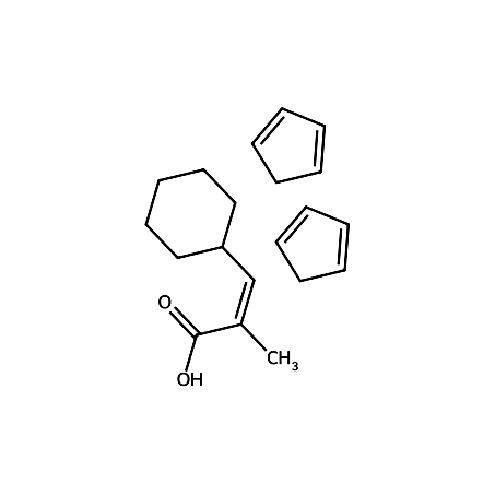 C1=CCC=C1.C1=CCC=C1.CC(=CC1CCCCC1)C(=O)O